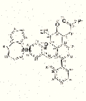 C1=CNc2ccccc2N=C1.CC(C)C(=O)CC1=c2ccc3c(c2C(=O)C(Cl)C1=O)C(c1ccccc1)C=c1ccccc1=3